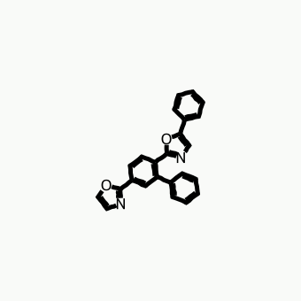 c1ccc(-c2cnc(-c3ccc(-c4ncco4)cc3-c3ccccc3)o2)cc1